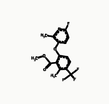 COC(=O)c1c(Oc2ccc(F)nc2C)ccc(C(F)(F)F)c1C